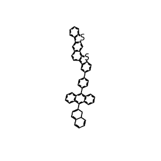 C1=CC2=CC=C(c3c4ccccc4c(-c4ccc(-c5ccc6sc7c8cc9sc%10ccccc%10c9cc8ccc7c6c5)cc4)c4ccccc34)CC2C=C1